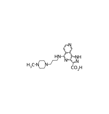 CN1CCN(CCCNc2nc3c(C(=O)O)n[nH]c3c3cnccc23)CC1